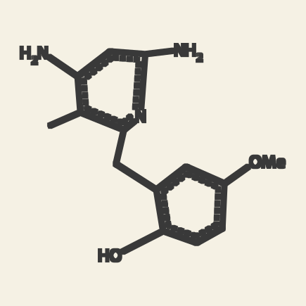 COc1ccc(O)c(Cc2nc(N)cc(N)c2C)c1